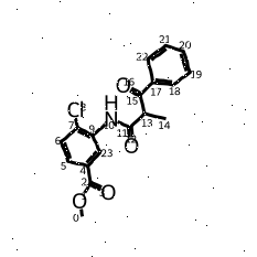 COC(=O)c1ccc(Cl)c(NC(=O)C(C)C(=O)c2ccccc2)c1